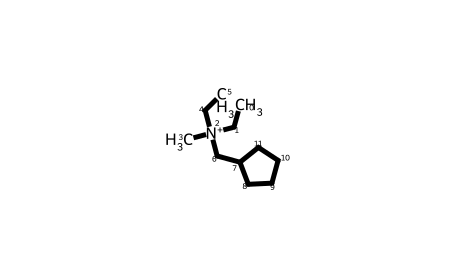 CC[N+](C)(CC)CC1CCCC1